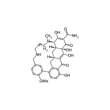 COc1ccc(CNCC(C)C)cc1-c1ccc(O)c2c1C[C@@H]1C[C@@H]3[C@@H](N(C)C)C(O)=C(C(N)=O)C(=O)[C@]3(O)C(O)=C1C2=O